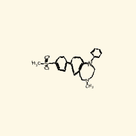 CN1CCN(c2ccccc2)c2ccc(-c3ccc(S(C)(=O)=O)cc3)cc2C1